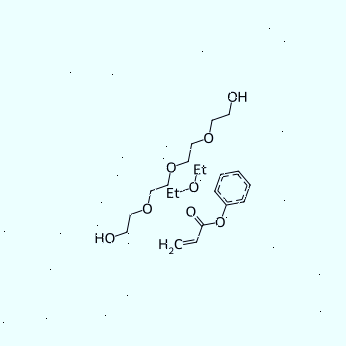 C=CC(=O)Oc1ccccc1.CCOCC.OCCOCCOCCOCCO